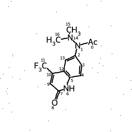 CC(=O)N(c1ccc2[nH]c(=O)cc(C(F)(F)F)c2c1)N(C)C